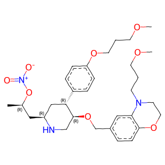 COCCCOc1ccc([C@H]2C[C@H](C[C@@H](C)O[N+](=O)[O-])NC[C@@H]2OCc2ccc3c(c2)N(CCCOC)CCO3)cc1